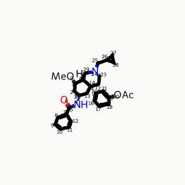 COC1C[C@H](NC(=O)c2ccccc2)C[C@]2(c3cccc(OC(C)=O)c3)CCN(CC3CC3)C[C@@H]12